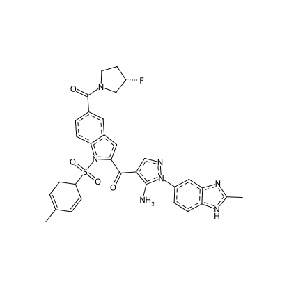 CC1=CCC(S(=O)(=O)n2c(C(=O)c3cnn(-c4ccc5[nH]c(C)nc5c4)c3N)cc3cc(C(=O)N4CC[C@H](F)C4)ccc32)C=C1